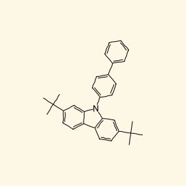 CC(C)(C)c1ccc2c3ccc(C(C)(C)C)cc3n(-c3ccc(-c4ccccc4)cc3)c2c1